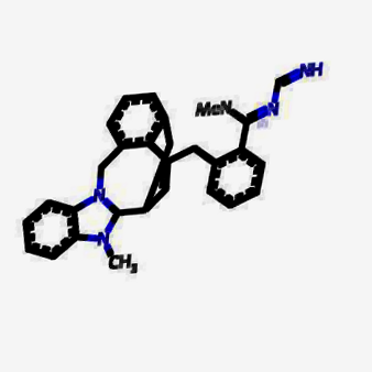 CN/C(=N\C=N)c1ccccc1CC1=CC2Cc3cccc(c31)CN1c3ccccc3N(C)C21